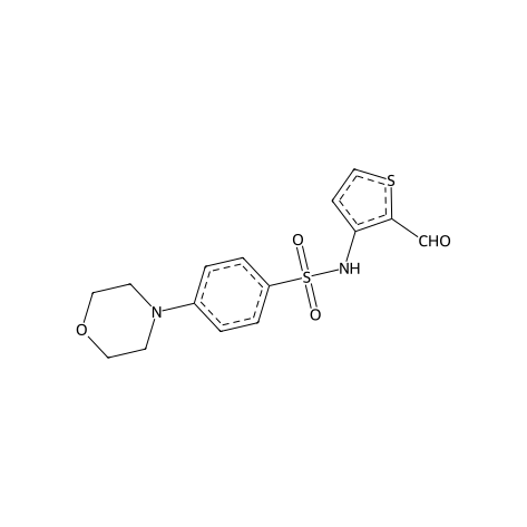 O=Cc1sccc1NS(=O)(=O)c1ccc(N2CCOCC2)cc1